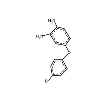 Nc1ccc(Oc2ccc(Br)cc2)cc1N